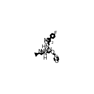 C=C(/C=C(/CNc1nc(Nc2cc(C3CC3)n[nH]2)cc(OCCN2CCOCC2)n1)ON)c1ccc(F)cc1